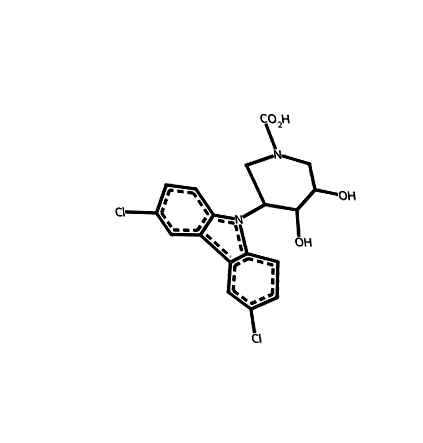 O=C(O)N1CC(O)C(O)C(n2c3ccc(Cl)cc3c3cc(Cl)ccc32)C1